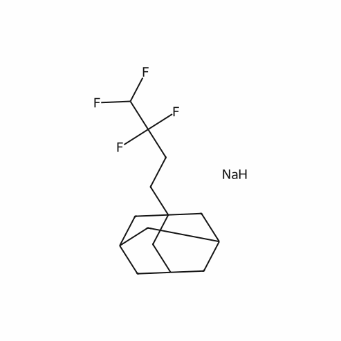 FC(F)C(F)(F)CCC12CC3CC(CC(C3)C1)C2.[NaH]